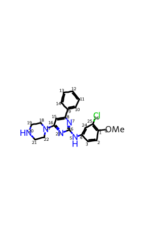 COc1ccc(Nc2nc(-c3ccccc3)cc(N3CCNCC3)n2)cc1Cl